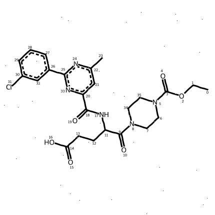 CCOC(=O)N1CCN(C(=O)C(CCC(=O)O)NC(=O)c2cc(C)nc(-c3cccc(Cl)c3)n2)CC1